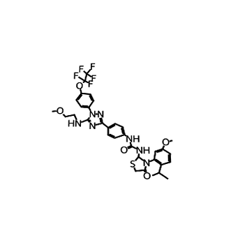 COCCNc1nc(-c2ccc(NC(=O)NC3SCC(=O)N3c3cc(OC)ccc3C(C)C)cc2)nn1-c1ccc(OC(F)(F)C(F)(F)F)cc1